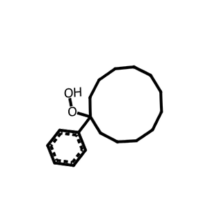 OOC1(c2ccccc2)CCCCCCCCCCC1